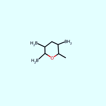 BC1CC(B)C(C)OC1B